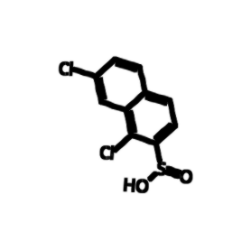 O=S(O)c1ccc2ccc(Cl)cc2c1Cl